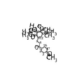 COc1ccc(C(=O)C=Cc2cc(C(C)(C)C)c(OC)c(OC)c2OC)cc1